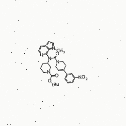 Cn1ccc2ccnc(N(C(=O)N3CC=C(c4cccc([N+](=O)[O-])c4)CC3)[C@@H]3CCCN(C(=O)OC(C)(C)C)C3)c21